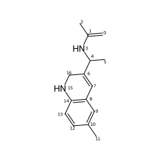 C=C(C)NC(C)C1=Cc2cc(C)ccc2NC1